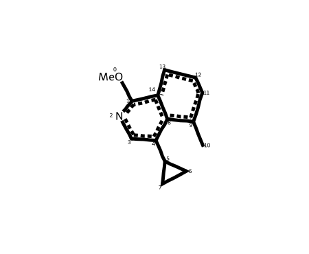 COc1ncc(C2CC2)c2c(C)cccc12